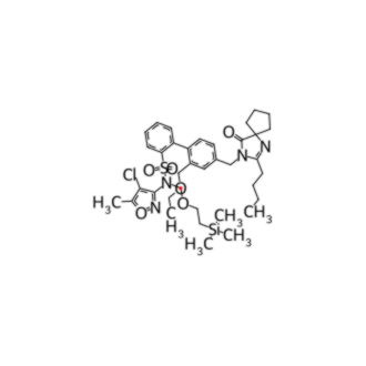 CCCCC1=NC2(CCCC2)C(=O)N1Cc1ccc(-c2ccccc2S(=O)(=O)N(COCC[Si](C)(C)C)c2noc(C)c2Cl)c(COCC)c1